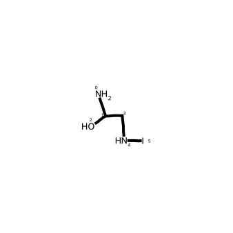 NC(O)CNI